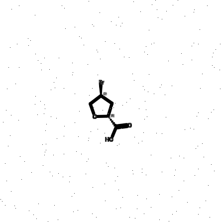 O=C(O)[C@H]1C[C@H](Br)CO1